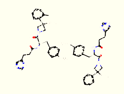 CCCCC1(c2ccccc2)CN(C(=O)[C@@H](Cc2ccc(OC)cc2)NC(=O)CCc2c[nH]cn2)C1.CCCCCC1(c2ccccc2C)CN(C(=O)[C@@H](Cc2ccc(OC)cc2)NC(=O)CCc2c[nH]cn2)C1